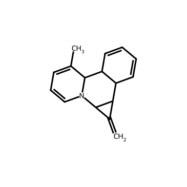 C=C1C2C3C=CC=CC3C3C(C)=CC=CN3C12